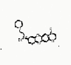 CCN1CCOc2cc3nc4cc/c(=[N+](\CC)CCN5CCCCC5)cc-4oc3cc21